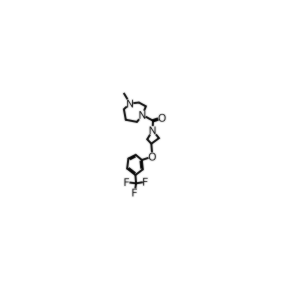 CN1CCCN(C(=O)N2CC(Oc3cccc(C(F)(F)F)c3)C2)CC1